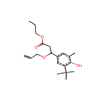 C=CCOC(CC(=O)OCCC)c1cc(C)c(O)c(C(C)(C)C)c1